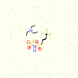 CCN(CC)CC.O=S(=O)(F)NS(=O)(=O)CC=CC(F)(F)F